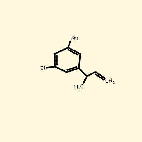 C=C[C](C)c1cc(CC)cc(C(C)(C)C)c1